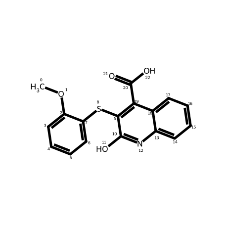 COc1ccccc1Sc1c(O)nc2ccccc2c1C(=O)O